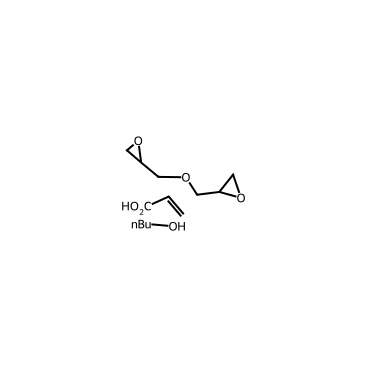 C(OCC1CO1)C1CO1.C=CC(=O)O.CCCCO